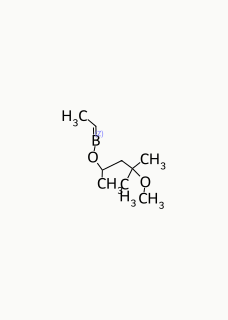 C/C=B\OC(C)CC(C)(C)OC